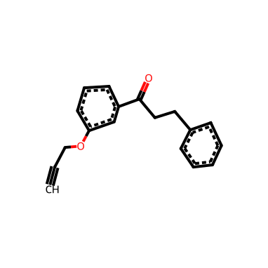 C#CCOc1cccc(C(=O)CCc2ccccc2)c1